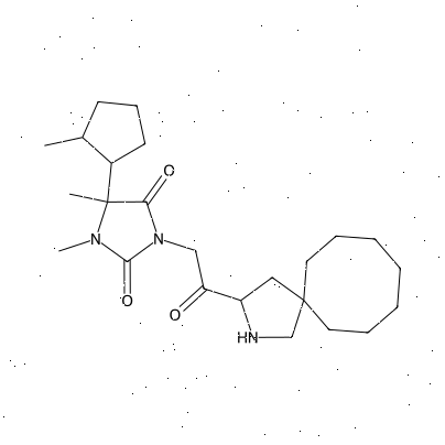 CC1CCCC1C1(C)C(=O)N(CC(=O)C2CC3(CCCCCCC3)CN2)C(=O)N1C